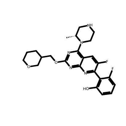 C[C@@H]1CNCCN1c1nc(OCC2CCCOC2)nc2nc(-c3c(O)cccc3F)c(F)cc12